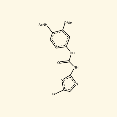 COc1cc(NC(=O)Nc2ncc(C(C)C)s2)ccc1NC(C)=O